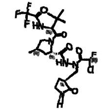 C[C@@H]1C[C@@H](C(=O)NN(C[C@@H]2CCNC2=O)C(=O)[C@H](F)Cl)N(C(=O)[C@@H](NC(=O)C(F)(F)F)C(C)(C)C)C1